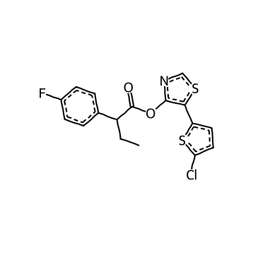 CCC(C(=O)Oc1ncsc1-c1ccc(Cl)s1)c1ccc(F)cc1